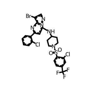 O=S(=O)(c1ccc(C(F)(F)F)cc1Cl)N1CCC(Nc2cc(-c3ccccc3Cl)nc3c(Br)cnn23)CC1